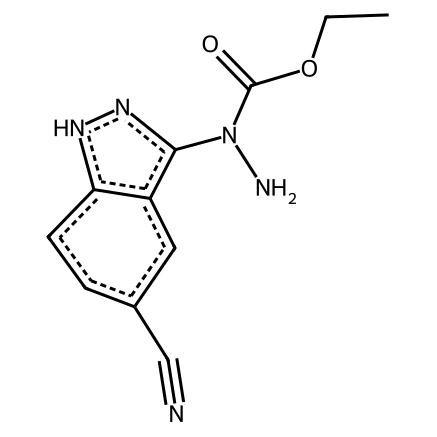 CCOC(=O)N(N)c1n[nH]c2ccc(C#N)cc12